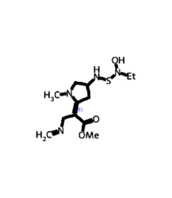 C=NC/C(C(=O)OC)=C1/CC(NSN(O)CC)CN1C